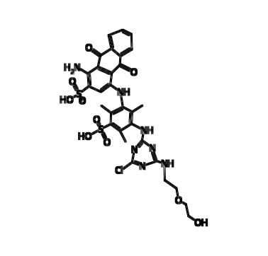 Cc1c(Nc2nc(Cl)nc(NCCOCCO)n2)c(C)c(S(=O)(=O)O)c(C)c1Nc1cc(S(=O)(=O)O)c(N)c2c1C(=O)c1ccccc1C2=O